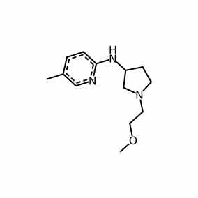 COCCN1CCC(Nc2ccc(C)cn2)C1